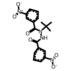 CC(C)(C)N(NC(=O)c1cccc([N+](=O)[O-])c1)C(=O)c1cccc([N+](=O)[O-])c1